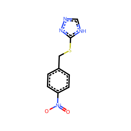 O=[N+]([O-])c1ccc(CSc2nnc[nH]2)cc1